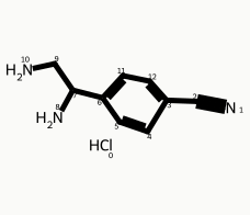 Cl.N#Cc1ccc(C(N)CN)cc1